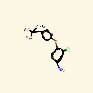 CC(C)(C)c1ccc(Sc2ccc(N)cc2Cl)cc1